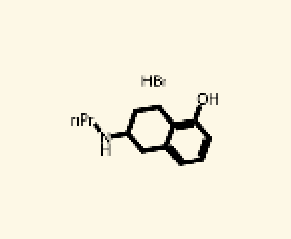 Br.CCCNC1CCc2c(O)cccc2C1